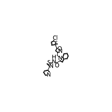 O=C(Nc1nc(-c2cccnc2)cs1)c1cc2ccccc2n1Cc1cc(-c2ccc(Cl)s2)on1